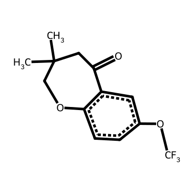 CC1(C)COc2ccc(OC(F)(F)F)cc2C(=O)C1